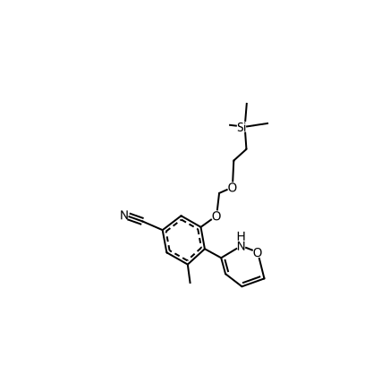 Cc1cc(C#N)cc(OCOCC[Si](C)(C)C)c1C1=CC=CON1